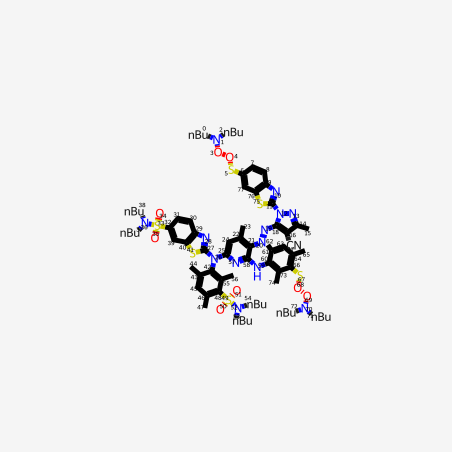 CCCCN(CCCC)OOSc1ccc2nc(-n3nc(C)c(C#N)c3N=Nc3c(C)cc(N(c4nc5ccc(S(=O)(=O)N(CCCC)CCCC)cc5s4)c4c(C)cc(C)c(S(=O)(=O)N(CCCC)CCCC)c4C)nc3Nc3c(C)cc(C)c(SOON(CCCC)CCCC)c3C)sc2c1